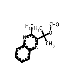 Cc1nc2ccccc2nc1C(C)(C)OC=O